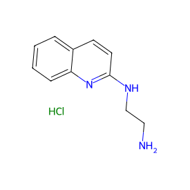 Cl.NCCNc1ccc2ccccc2n1